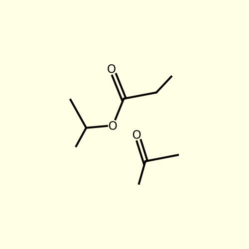 CC(C)=O.CCC(=O)OC(C)C